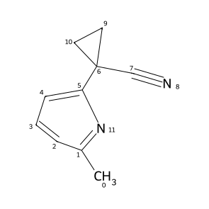 Cc1cccc(C2(C#N)CC2)n1